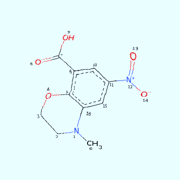 CN1CCOc2c(C(=O)O)cc([N+](=O)[O-])cc21